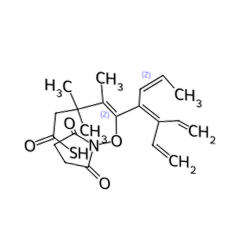 C=CC(C=C)=C(/C=C\C)/C(ON1C(=O)CCC1=O)=C(\C)C(C)(C)CC(=O)S